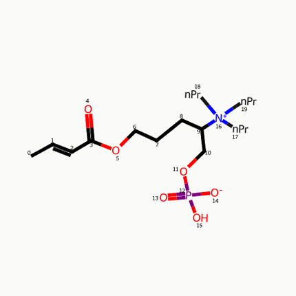 CC=CC(=O)OCCCC(COP(=O)([O-])O)[N+](CCC)(CCC)CCC